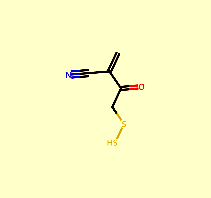 C=C(C#N)C(=O)CSS